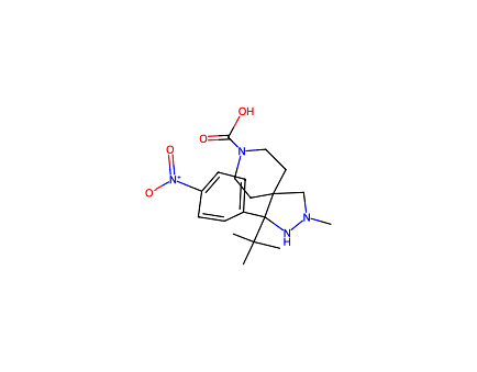 CN1CC2(CCN(C(=O)O)CC2)C(c2ccc([N+](=O)[O-])cc2)(C(C)(C)C)N1